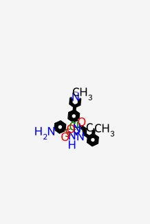 CC(C)c1ccccc1-c1cc(Oc2cc(C3CCN(C)CC3)ccc2Cl)nc(NS(=O)(=O)c2cccc(N)c2)n1